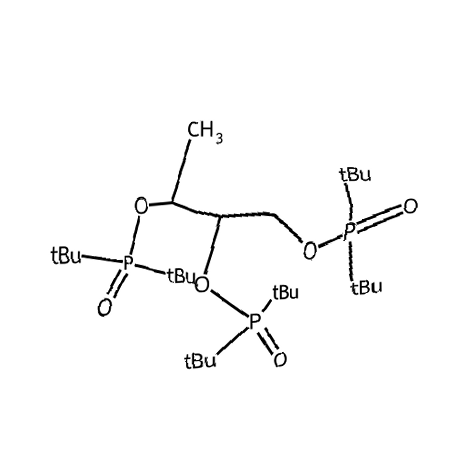 CC(OP(=O)(C(C)(C)C)C(C)(C)C)C(COP(=O)(C(C)(C)C)C(C)(C)C)OP(=O)(C(C)(C)C)C(C)(C)C